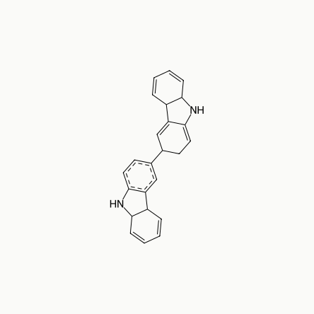 C1=CC2NC3=CCC(c4ccc5c(c4)C4C=CC=CC4N5)C=C3C2C=C1